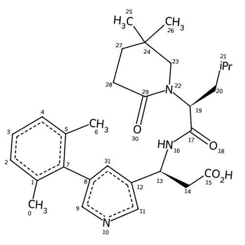 Cc1cccc(C)c1-c1cncc([C@H](CC(=O)O)NC(=O)[C@H](CC(C)C)N2CC(C)(C)CCC2=O)c1